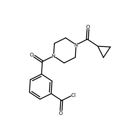 O=C(Cl)c1cccc(C(=O)N2CCN(C(=O)C3CC3)CC2)c1